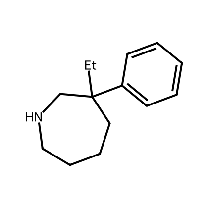 CCC1(c2ccccc2)CCCCNC1